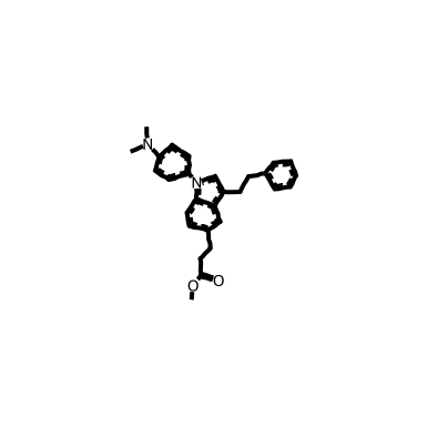 COC(=O)CCc1ccc2c(c1)c(CCc1ccccc1)cn2-c1ccc(N(C)C)cc1